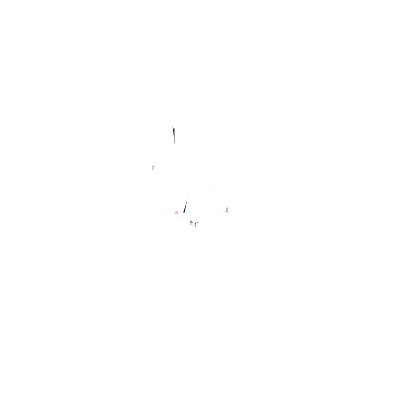 CC1(C)CCC2(CC1)N[C@@H](C(=O)O)[C@H](c1cccc(Cl)c1F)[C@]21C(=O)Nc2cc(Cl)ncc21